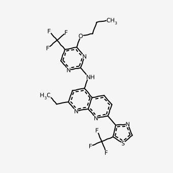 CCCOc1nc(Nc2cc(CC)nc3nc(-c4ncsc4C(F)(F)F)ccc23)ncc1C(F)(F)F